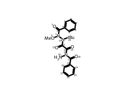 CON(C(=O)c1ccccc1)N(C(=O)C(=O)N(N)C(=O)c1ccccc1)C(C)(C)C